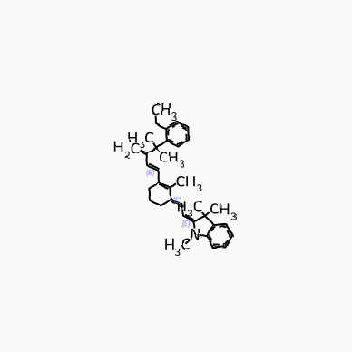 C=C(/C=C/C1=C(C)C(=C/C=C2/N(C)c3ccccc3C2(C)C)/CCC1)C(C)(C)c1ccccc1CC